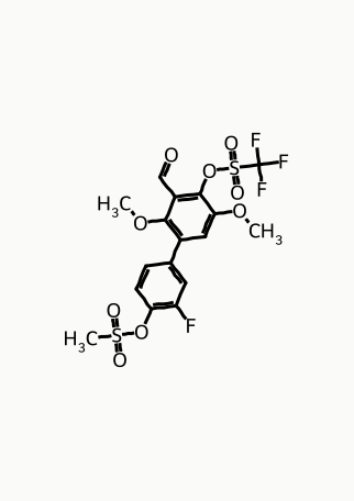 COc1cc(-c2ccc(OS(C)(=O)=O)c(F)c2)c(OC)c(C=O)c1OS(=O)(=O)C(F)(F)F